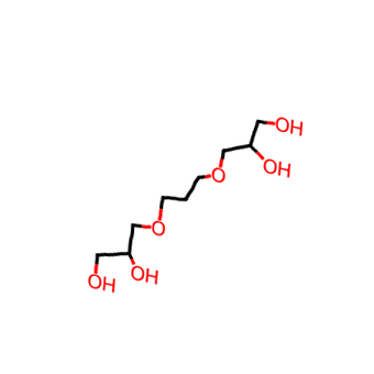 OCC(O)COCCCOCC(O)CO